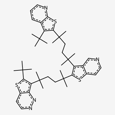 CC(C)(C)c1sc2ccnnc2c1C(C)(C)CCC(C)(C)c1sc2ccncc2c1C(C)(C)CCC(C)(C)c1sc2ncccc2c1C(C)(C)C